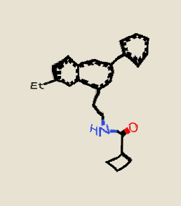 CCc1ccc2cc(-c3ccccc3)cc(CCNC(=O)C3CCC3)c2c1